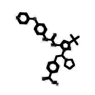 CC(C)(C)c1cc(NC(=O)Nc2ccc(Oc3ccncc3)cc2)n(C(Cc2ccc(C(N)=O)cc2)N2CCCC2)n1